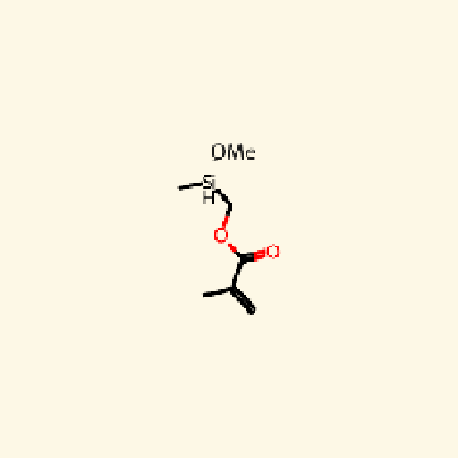 C=C(C)C(=O)OC[SiH](C)OC